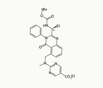 CCOC(=O)c1cnc(N(C)Cc2cccc3nc([C@H](CC)NC(=O)OC(C)(C)C)n(-c4ccccc4)c(=O)c23)nc1